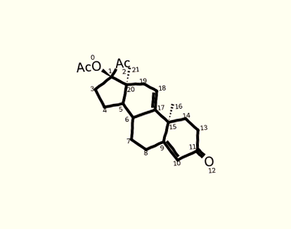 CC(=O)O[C@]1(C(C)=O)CCC2C3CCC4=CC(=O)CC[C@]4(C)C3=CC[C@@]21C